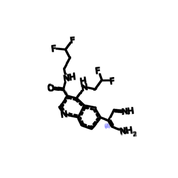 N=C/C(=C\N)c1ccc2ncc(C(=O)NCCC(F)F)c(NCC(F)F)c2c1